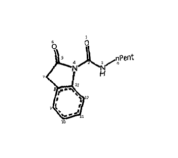 CCCCCNC(=O)N1C(=O)Cc2ccccc21